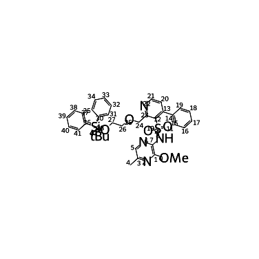 COc1nc(C)cnc1NS(=O)(=O)c1c(-c2ccccc2)ccnc1COCCO[Si](c1ccccc1)(c1ccccc1)C(C)(C)C